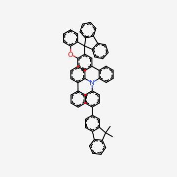 CC1(C)c2ccccc2-c2ccc(-c3ccc(N(c4ccccc4-c4ccccc4)c4ccccc4-c4ccc5c(c4)C4(c6ccccc6O5)c5ccccc5-c5ccccc54)cc3)cc21